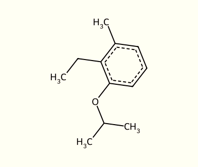 CCc1c(C)cccc1OC(C)C